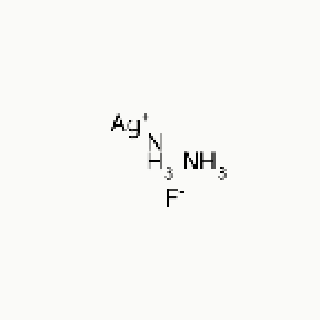 N.N.[Ag+].[F-]